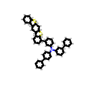 c1ccc(-c2ccc(N(c3cccc(-c4ccccc4)c3)c3cccc(-c4cccc5c4sc4cc6sc7ccccc7c6cc45)c3)cc2)cc1